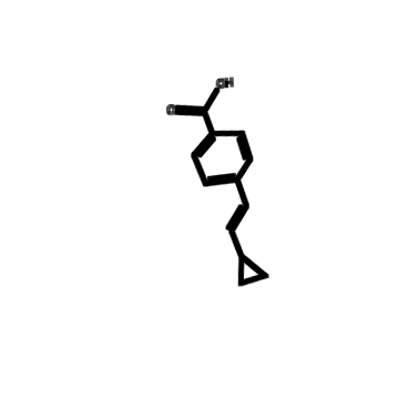 O=C(O)c1ccc(C=CC2CC2)cc1